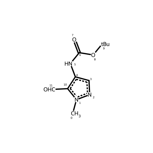 Cn1ncc(NC(=O)OC(C)(C)C)c1C=O